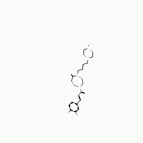 CC(C)N1CCN(CCCCN2CCN(C(=O)C=Cc3ccc(F)c(Cl)c3)CCC2=O)CC1